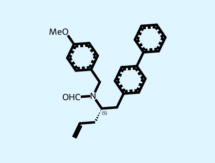 C=CC[C@@H](Cc1ccc(-c2ccccc2)cc1)N(C=O)Cc1ccc(OC)cc1